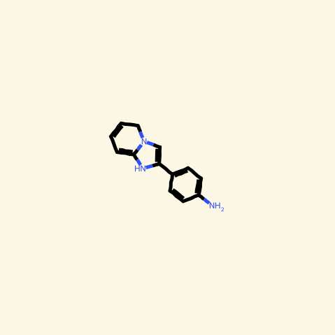 Nc1ccc(C2=CN3CC=CC=C3N2)cc1